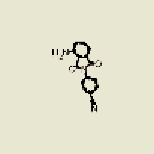 N#Cc1ccc(N2C(=O)c3cccc(N)c3C2=O)cc1